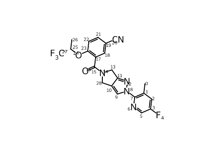 Cc1cc(F)cnc1-n1cc2c(n1)CN(C(=O)c1cc(C#N)ccc1O[C@@H](C)C(F)(F)F)C2